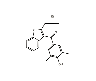 CCC(C)(C)Cc1oc2ccccc2c1C(=O)c1cc(I)c(O)c(I)c1